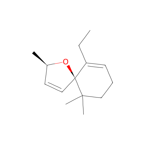 CCC1=CCCC(C)(C)[C@]12C=C[C@@H](C)O2